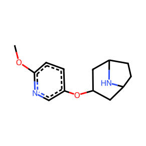 COc1ccc(OC2CC3CCC(C2)N3)cn1